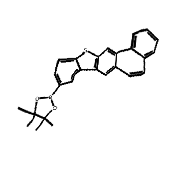 CC1(C)OB(c2ccc3sc4cc5c(ccc6ccccc65)cc4c3c2)OC1(C)C